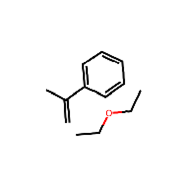 C=C(C)c1ccccc1.CCOCC